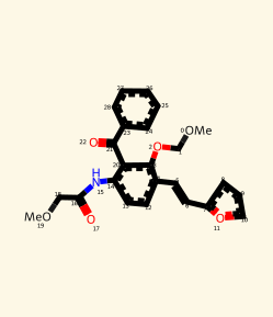 COCOc1c(C=Cc2ccco2)ccc(NC(=O)COC)c1C(=O)c1ccccc1